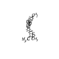 CCC(C)Oc1ccc([C@H]2CC[C@H](OS(=O)(=O)c3ccc(C)cc3)CC2)cc1